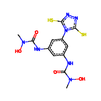 CN(O)C(=O)Nc1cc(NC(=O)N(C)O)cc(-n2c(S)nnc2S)c1